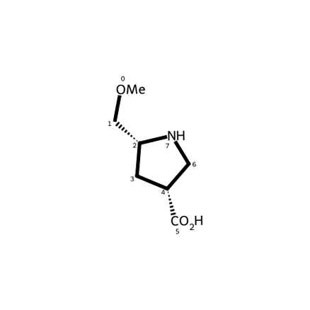 COC[C@H]1C[C@@H](C(=O)O)CN1